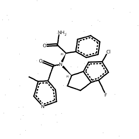 Cc1cnccc1C(=O)N([C@@H]1CCc2c(F)cc(Cl)cc21)[C@@H](C(N)=O)c1ccccc1